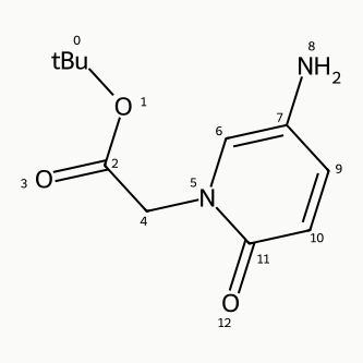 CC(C)(C)OC(=O)Cn1cc(N)ccc1=O